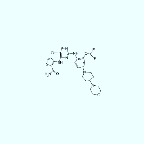 NC(=O)c1sccc1Nc1nc(Nc2ccc(N3CCC(N4CCOCC4)CC3)cc2OC(F)F)ncc1Cl